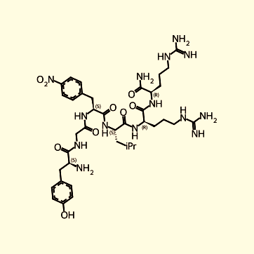 CC(C)C[C@H](NC(=O)[C@H](Cc1ccc([N+](=O)[O-])cc1)NC(=O)CNC(=O)[C@@H](N)Cc1ccc(O)cc1)C(=O)N[C@H](CCCNC(=N)N)C(=O)N[C@H](CCCNC(=N)N)C(N)=O